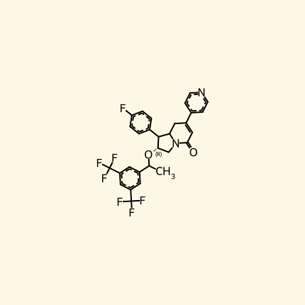 CC(O[C@H]1CN2C(=O)C=C(c3ccncc3)CC2C1c1ccc(F)cc1)c1cc(C(F)(F)F)cc(C(F)(F)F)c1